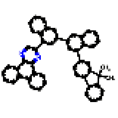 CC1(C)c2ccccc2-c2ccc(-c3cc(-c4cc(-c5cnc6c7ccccc7c7ccccc7c6n5)c5ccccc5c4)cc4ccccc34)cc21